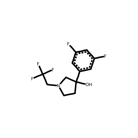 OC1(c2cc(F)cc(F)c2)CCN(CC(F)(F)F)C1